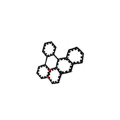 [c]1c2ccccc2c(-c2ccccc2-c2ccccc2)c2ccccc12